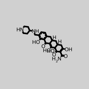 NC(=O)C1=C(O)C[C@@H]2C[C@@H]3Cc4ccc(CNC5CCNCC5)c(O)c4C(=O)C3=C(O)[C@]2(O)C1=O